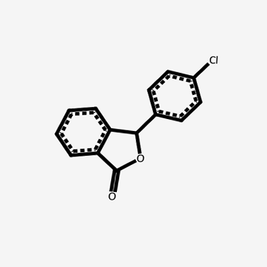 O=C1OC(c2ccc(Cl)cc2)c2ccccc21